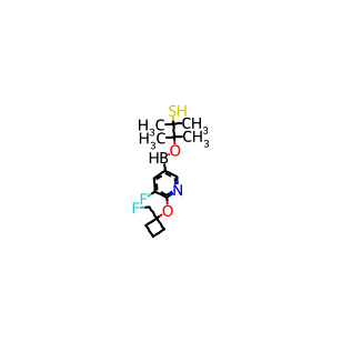 CC(C)(S)C(C)(C)OBc1cnc(OC2(CF)CCC2)c(F)c1